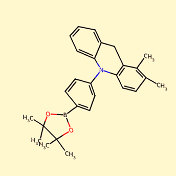 Cc1ccc2c(c1C)Cc1ccccc1N2c1ccc(B2OC(C)(C)C(C)(C)O2)cc1